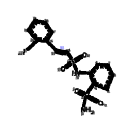 NS(=O)(=O)c1ccccc1NS(=O)(=O)/C=C/c1ccccc1F